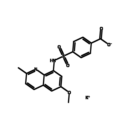 COc1cc(NS(=O)(=O)c2ccc(C(=O)[O-])cc2)c2nc(C)ccc2c1.[K+]